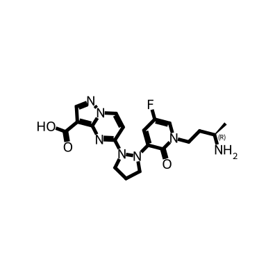 C[C@@H](N)CCn1cc(F)cc(N2CCCN2c2ccn3ncc(C(=O)O)c3n2)c1=O